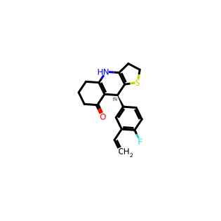 C=Cc1cc([C@@H]2C3=C(CCS3)NC3=C2C(=O)CCC3)ccc1F